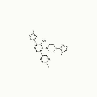 Cn1ccc(-c2ccc(-c3ccc(F)nc3)c(N3CCN(c4nncn4C)CC3)c2C#N)n1